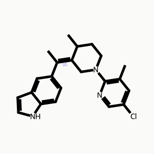 C/C(=C1/CN(c2ncc(Cl)cc2C)CCC1C)c1ccc2[nH]ccc2c1